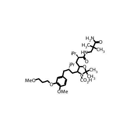 COCCCOc1cc(C[C@@H](CC2C(C[C@H](C(=O)NCC(C)(C)C(N)=O)C(C)C)OC(C)(C)N2C(=O)O)C(C)C)ccc1OC